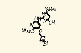 CCN1CC(COc2cc(Nc3nc(C)cc(NC)n3)cnc2OC)C1